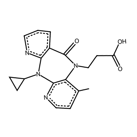 Cc1ccnc2c1N(CCC(=O)O)C(=O)c1cccnc1N2C1CC1